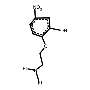 CCN(CC)CCOc1ccc([N+](=O)[O-])cc1O